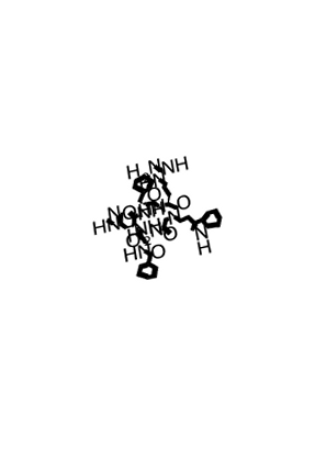 N=C(N)NCCC[C@H](NC(=O)[C@@H](Cc1ccccc1)NC(=O)[C@H](Cc1cnc[nH]1)NC(=O)CNC(=O)c1ccccc1)C(=O)N(CCc1c[nH]c2ccccc12)CC(N)=O